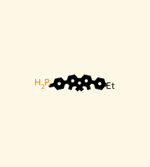 CCc1ccc(-c2ccc3c(c2C)C(C)(C)c2c-3ccc(-c3ccc(CP)cc3)c2C)cc1